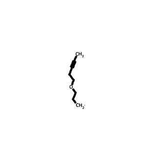 [CH2]CCOCCC#CC